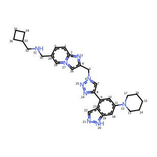 c1cc2nc(Cn3cc(-c4cc(N5CCCCC5)cc5[nH]ncc45)nn3)cn2cc1CNCC1CCC1